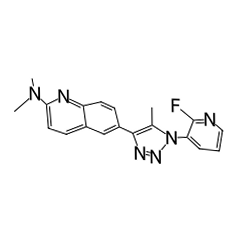 Cc1c(-c2ccc3nc(N(C)C)ccc3c2)nnn1-c1cccnc1F